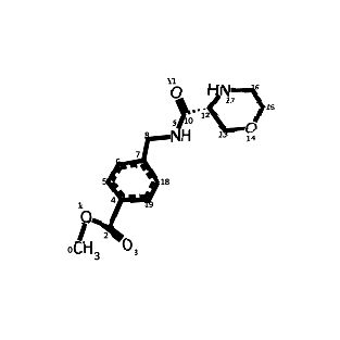 COC(=O)c1ccc(CNC(=O)[C@H]2COCCN2)cc1